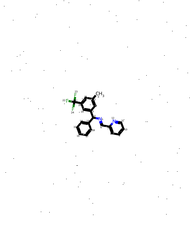 Cc1cc(C(/N=C/c2ccccn2)c2ccccc2)cc(C(F)(F)F)c1